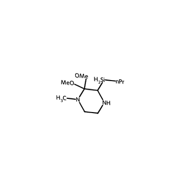 CCC[SiH2]C1NCCN(C)C1(OC)OC